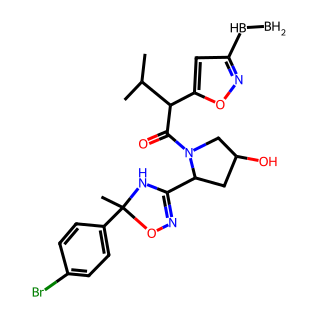 BBc1cc(C(C(=O)N2CC(O)CC2C2=NOC(C)(c3ccc(Br)cc3)N2)C(C)C)on1